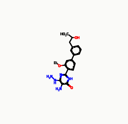 CCOc1cc(-c2cccc(CC(O)C(=O)O)c2)ccc1-c1nc(NN)c(N)c(=O)[nH]1